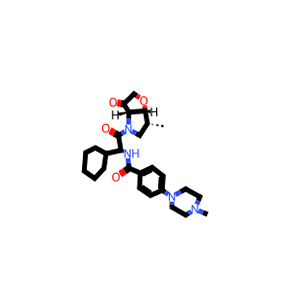 C[C@@H]1CN(C(=O)[C@@H](NC(=O)c2ccc(N3CCN(C)CC3)cc2)C2CCCCC2)[C@@H]2C(=O)CO[C@H]12